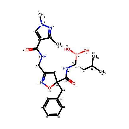 Cc1nn(C)cc1C(=O)NCC1=NOC(Cc2ccccc2)(C(=O)N[C@@H](CC(C)C)B(O)O)C1